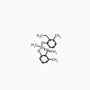 CCc1c(C)cccc1[O][Sn]([CH3])([CH3])[O]c1cccc(C)c1CC